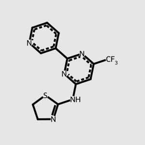 FC(F)(F)c1cc(NC2=NCCS2)nc(-c2cccnc2)n1